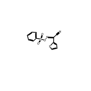 N#CC(=NOS(=O)(=O)c1ccccc1)c1cccs1